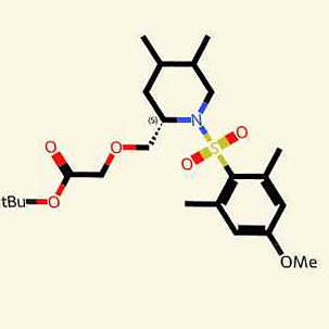 COc1cc(C)c(S(=O)(=O)N2CC(C)C(C)C[C@H]2COCC(=O)OC(C)(C)C)c(C)c1